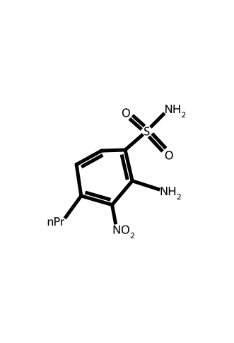 CCCc1ccc(S(N)(=O)=O)c(N)c1[N+](=O)[O-]